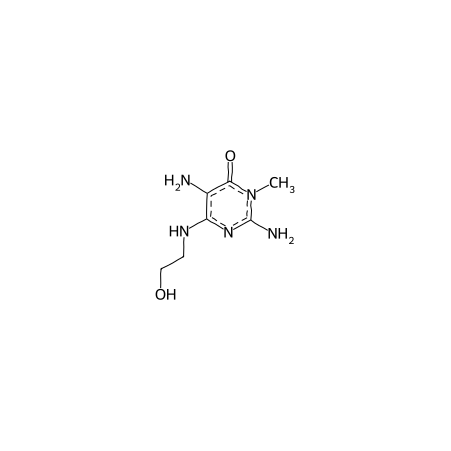 Cn1c(N)nc(NCCO)c(N)c1=O